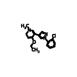 CCOC1=CCN(C)C=C1c1cnn(-c2ccccc2Cl)c1